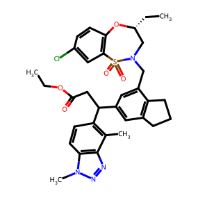 CCOC(=O)CC(c1cc2c(c(CN3C[C@@H](CC)Oc4ccc(Cl)cc4S3(=O)=O)c1)CCC2)c1ccc2c(nnn2C)c1C